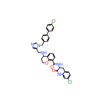 NC(=O)C(Cc1ccc(Cl)cc1)NC(=O)c1cccc2c1OCCC2NCc1cncn1Cc1ccc(-c2ccc(Cl)cc2)cc1